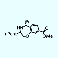 CCCCCC1COc2cc(C(=O)OC)ccc2[C@@H](C(C)C)N1